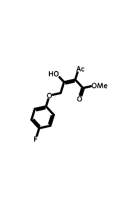 COC(=O)/C(C(C)=O)=C(/O)COc1ccc(F)cc1